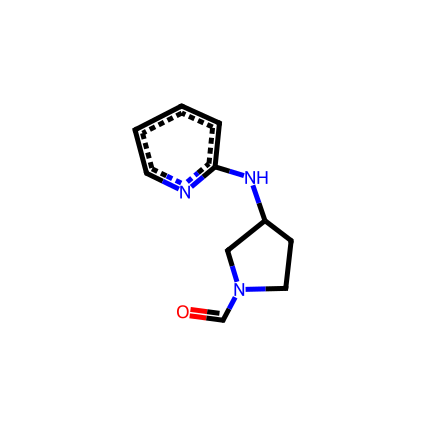 O=CN1CCC(Nc2ccccn2)C1